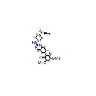 CC#CC(=O)N1CCC(Nc2ncc3cc(-c4c(Cl)c(OC)cc(OC)c4Cl)ccc3n2)CC1